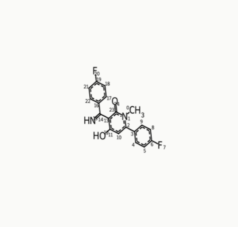 Cn1c(-c2ccc(F)cc2)cc(O)c(C(=N)c2ccc(F)cc2)c1=O